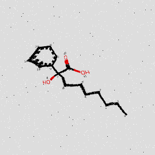 CCCCCCCC(O)(C(=O)O)c1ccccc1